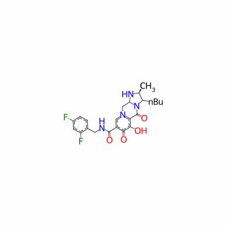 CCCCC1[C@H](C)NC2Cn3cc(C(=O)NCc4ccc(F)cc4F)c(=O)c(O)c3C(=O)N21